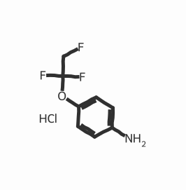 Cl.Nc1ccc(OC(F)(F)CF)cc1